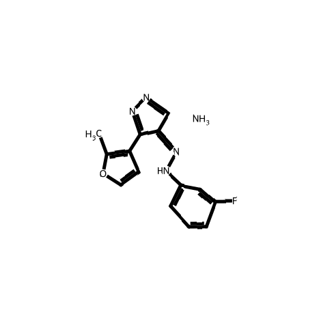 Cc1occc1C1=NN=CC1=NNc1cccc(F)c1.N